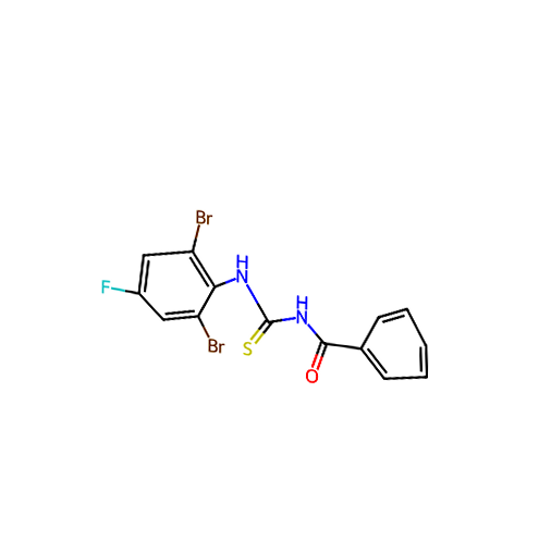 O=C(NC(=S)Nc1c(Br)cc(F)cc1Br)c1ccccc1